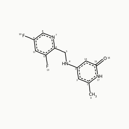 Cc1cc(NCc2ncc(F)cc2F)cc(=O)[nH]1